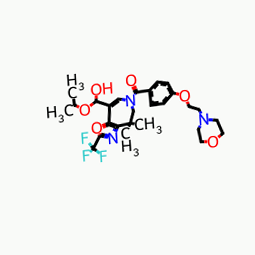 CC(C)OC(O)C1=CN(C(=O)c2ccc(OCCN3CCOCC3)cc2)CC(C)(C)c2nc(C(F)(F)F)oc21